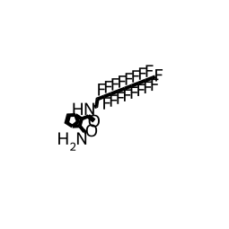 NC(=O)C1C2C=CC(C2)C1C(=O)NCCC(F)(F)C(F)(F)C(F)(F)C(F)(F)C(F)(F)C(F)(F)C(F)(F)C(F)(F)F